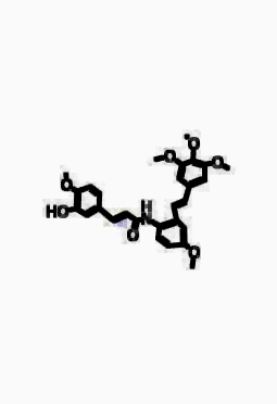 COc1ccc(NC(=O)/C=C/c2ccc(OC)c(O)c2)c(C=Cc2cc(OC)c(OC)c(OC)c2)c1